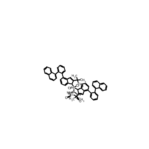 CC(C)(C)C1=Cc2c(-c3ccccc3-c3cccc4ccccc34)cccc2[CH]1[Hf]([Cl])([Cl])([B](NC=O)NC=O)[CH]1C(C(C)(C)C)=Cc2c(-c3ccccc3-c3cccc4ccccc34)cccc21